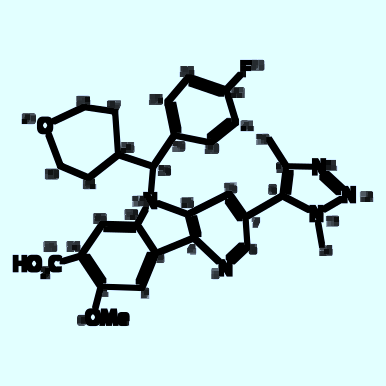 COc1cc2c3ncc(-c4c(C)nnn4C)cc3n(C(c3ccc(F)cc3)C3CCOCC3)c2cc1C(=O)O